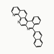 c1ccc2cc(-c3nc4cnc5c(ccc6cccnc65)c4c4ccccc34)ccc2c1